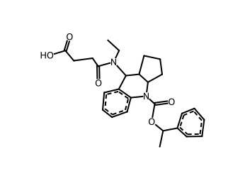 CCN(C(=O)CCC(=O)O)C1c2ccccc2N(C(=O)OC(C)c2ccccc2)C2CCCC12